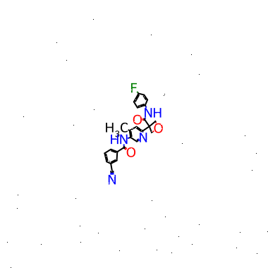 Cc1cc(C2(C(=O)Nc3ccc(F)cc3)COC2)ncc1NC(=O)c1cccc(C#N)c1